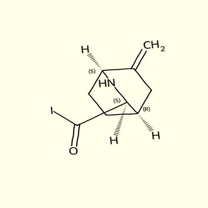 C=C1C[C@H]2CC[C@@H]1N[C@@H]2C(=O)I